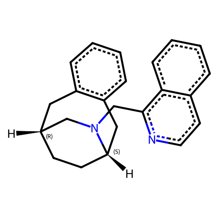 c1ccc2c(c1)C[C@H]1CC[C@@H](C2)N(Cc2nccc3ccccc23)C1